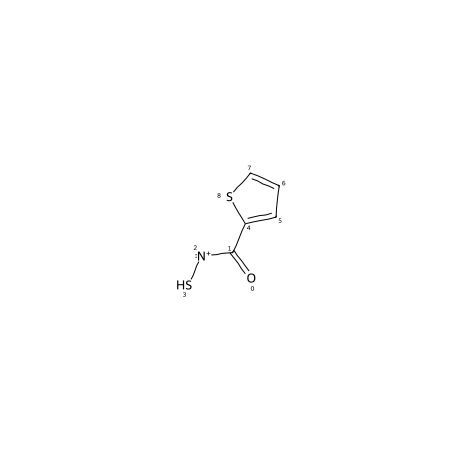 O=C([N+]S)c1cccs1